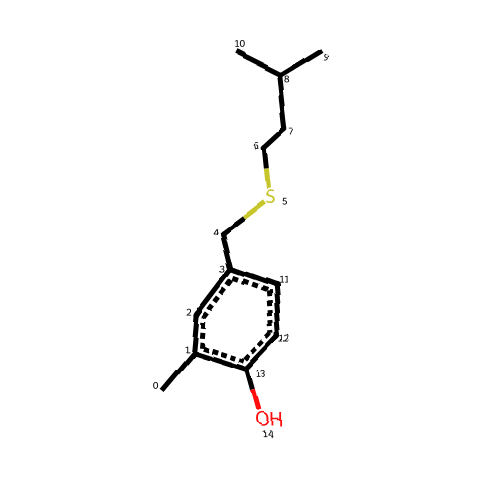 Cc1cc(CSCCC(C)C)ccc1O